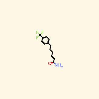 NC(=O)C=CCCCc1ccc(C(F)(F)F)cc1